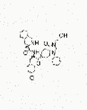 O=C(N[C@H](Cc1ccc(Cl)cc1)C(=O)N1CCC2(CC1)C(=O)N(CCO)CN2c1ccccc1)[C@H]1Cc2ccccc2CN1